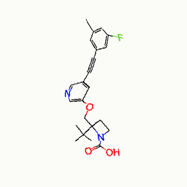 Cc1cc(F)cc(C#Cc2cncc(OCC3(C(C)(C)C)CCN3C(=O)O)c2)c1